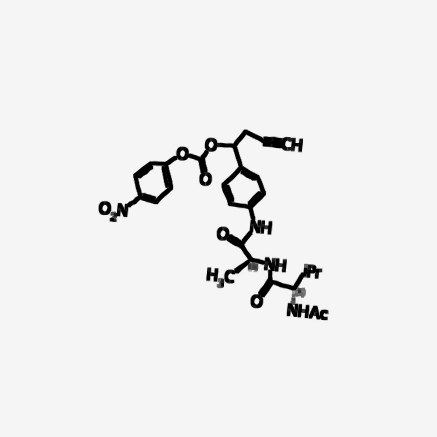 C#CCC(OC(=O)Oc1ccc([N+](=O)[O-])cc1)c1ccc(NC(=O)[C@H](C)NC(=O)[C@@H](NC(C)=O)C(C)C)cc1